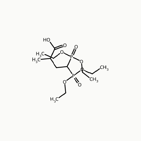 CCOP(=O)(OCC)C(CC(C)C(=O)O)P(=O)(OCC)OCC